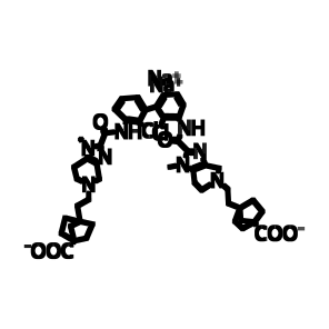 Cn1c(C(=O)Nc2cccc(-c3cccc(NC(=O)c4nc5c(n4C)CCN(CCC46CCC(C(=O)[O-])(CC4)C6)C5)c3Cl)c2Cl)nc2c1CCN(CCC13CCC(C(=O)[O-])(CC1)C3)C2.[Na+].[Na+]